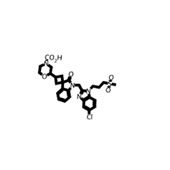 CS(=O)(=O)CCCn1c(CN2C(=O)C3(CC(C4CN(C(=O)O)CCO4)C3)c3ccccc32)nc2cc(Cl)ccc21